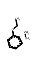 CCOc1ccccc1.CN